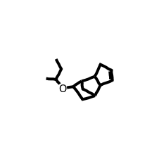 CCC(C)OC1CC2CC1C1CC=CC21